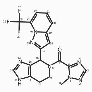 Cn1ncnc1C(=O)N1CCc2[nH]cnc2C1c1cc2cccc(C(F)(F)F)n2n1